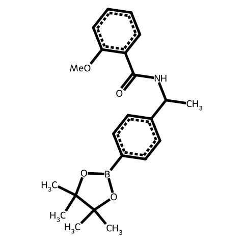 COc1ccccc1C(=O)NC(C)c1ccc(B2OC(C)(C)C(C)(C)O2)cc1